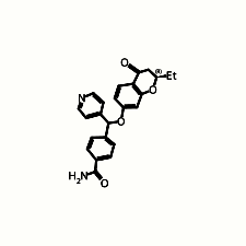 CC[C@@H]1CC(=O)c2ccc(OC(c3ccncc3)c3ccc(C(N)=O)cc3)cc2O1